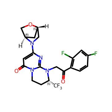 O=C(CN1c2nc(N3C[C@@H]4C[C@@H]3CO4)cc(=O)n2CC[C@H]1C(F)(F)F)c1ccc(F)cc1F